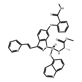 CNC(=O)c1ccccc1Sc1ccc2c(/C=C/c3ccccn3)nn(P(=O)(N[C@@H](C)C(=O)OC)Oc3cccc4ncccc34)c2c1